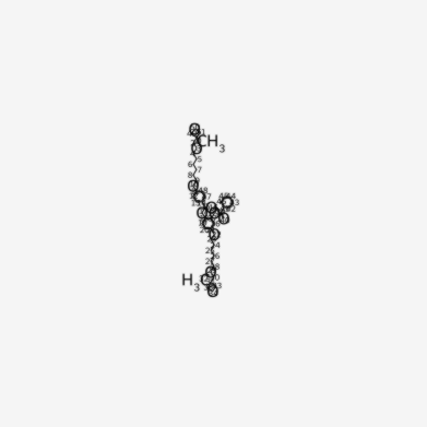 CC1(COCCCCCCOc2ccc(C(=O)Oc3ccc(OCCCCCCOCC4(C)COC4)cc3OC(=O)c3ccccc3)cc2)COC1